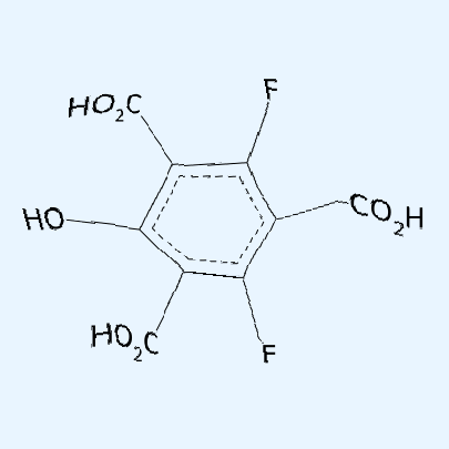 O=C(O)c1c(O)c(C(=O)O)c(F)c(C(=O)O)c1F